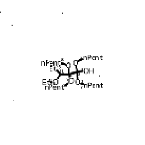 CCCCCOC(O)(OCCCCC)C(OCCCCC)(OCCCCC)C(CC)OCC